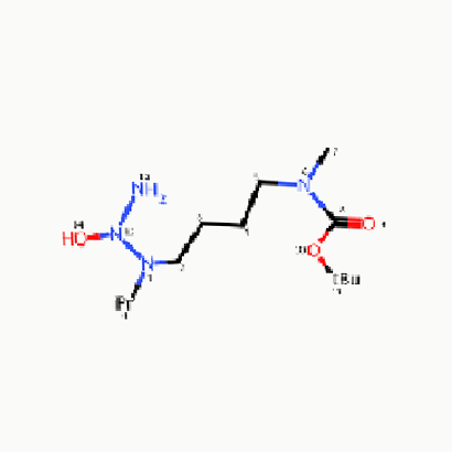 CC(C)N(CCCCN(C)C(=O)OC(C)(C)C)N(N)O